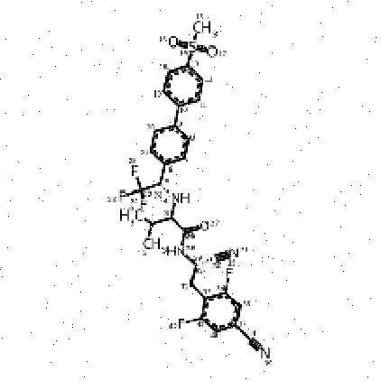 CC(C)C(N[C@@H](c1ccc(-c2ccc(S(C)(=O)=O)cc2)cc1)C(F)(F)F)C(=O)N[C@H](C#N)Cc1c(F)cc(C#N)cc1F